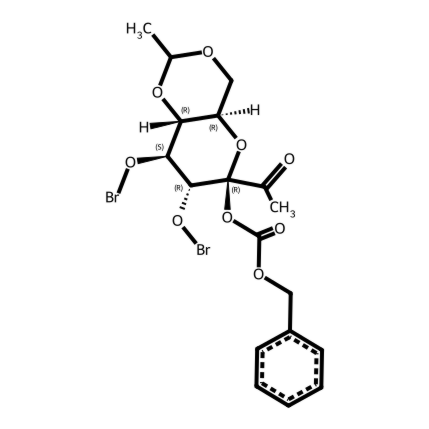 CC(=O)[C@@]1(OC(=O)OCc2ccccc2)O[C@@H]2COC(C)O[C@H]2[C@H](OBr)[C@H]1OBr